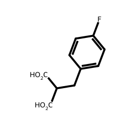 O=C(O)C(Cc1ccc(F)cc1)C(=O)O